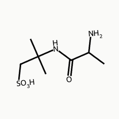 CC(N)C(=O)NC(C)(C)CS(=O)(=O)O